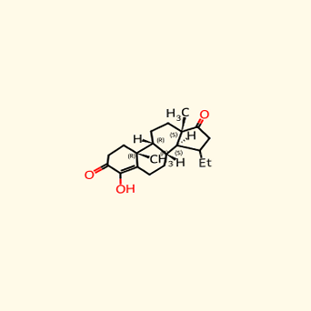 CCC1CC(=O)[C@@]2(C)CC[C@@H]3[C@@H](CCC4=C(O)C(=O)CC[C@@]43C)[C@H]12